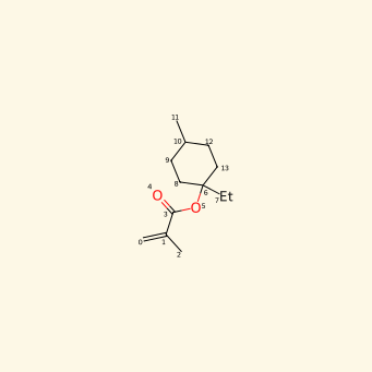 C=C(C)C(=O)OC1(CC)CCC(C)CC1